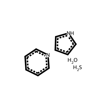 O.S.c1cc[nH]c1.c1ccncc1